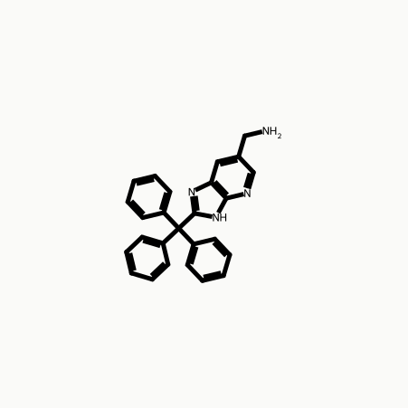 NCc1cnc2[nH]c(C(c3ccccc3)(c3ccccc3)c3ccccc3)nc2c1